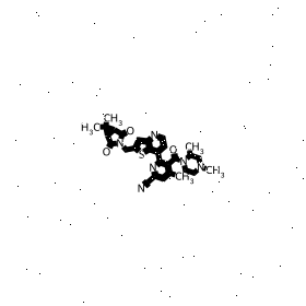 Cc1cc(C#N)nc(-c2ccnc3cc(CN4C(=O)C5C(C4=O)C5(C)C)sc23)c1C(=O)N1CCN(C)CC1C